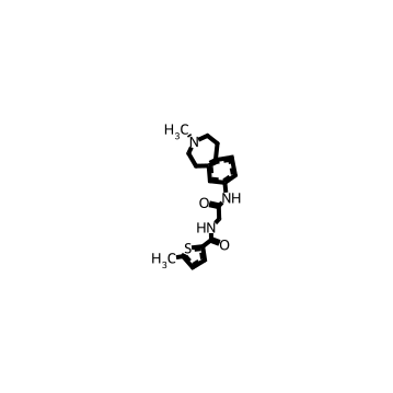 Cc1ccc(C(=O)NCC(=O)Nc2ccc3c(c2)CCN(C)CC3)s1